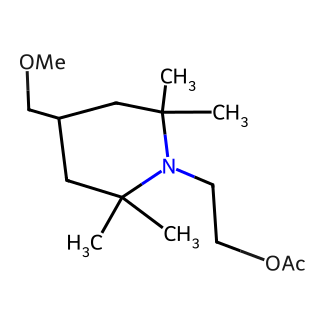 COCC1CC(C)(C)N(CCOC(C)=O)C(C)(C)C1